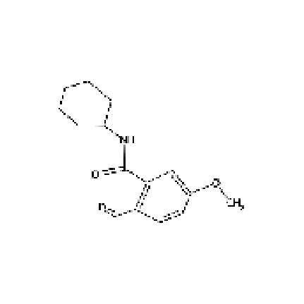 COc1ccc(C=O)c(C(=O)NC2CCCCC2)c1